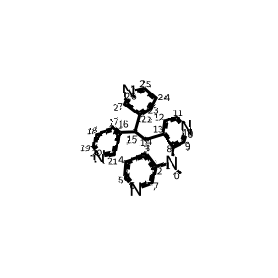 CN(c1cccnc1)c1cnccc1CC(c1cccnc1)c1cccnc1